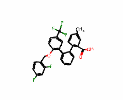 Cc1ccc(-c2ccccc2-c2cc(C(F)(F)F)ccc2OCc2ccc(F)cc2F)c(C(=O)O)c1